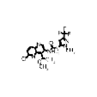 COC(C)c1c(NC(=O)Nc2cc(C(F)(F)F)nn2C)cnc2ccc(Cl)nc12